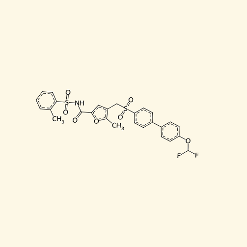 Cc1ccccc1S(=O)(=O)NC(=O)c1cc(CS(=O)(=O)c2ccc(-c3ccc(OC(F)F)cc3)cc2)c(C)o1